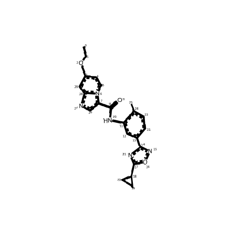 CCOc1ccn2c(C(=O)Nc3cc(-c4noc(C5CC5)n4)ccc3C)cnc2c1